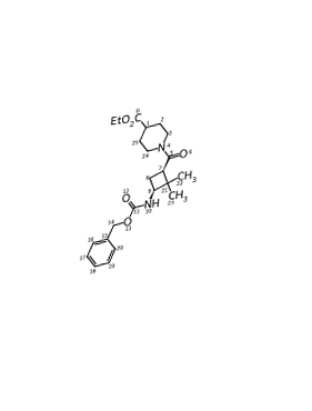 CCOC(=O)C1CCN(C(=O)[C@@H]2C[C@H](NC(=O)OCc3ccccc3)C2(C)C)CC1